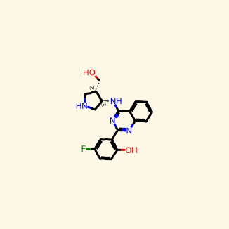 OC[C@H]1CNC[C@H]1Nc1nc(-c2cc(F)ccc2O)nc2ccccc12